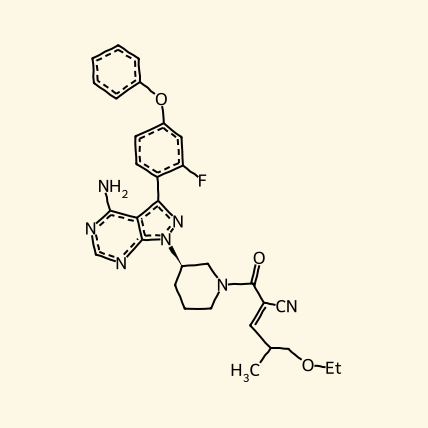 CCOCC(C)C=C(C#N)C(=O)N1CCC[C@@H](n2nc(-c3ccc(Oc4ccccc4)cc3F)c3c(N)ncnc32)C1